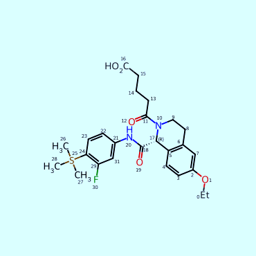 CCOc1ccc2c(c1)CCN(C(=O)CCCC(=O)O)[C@H]2C(=O)Nc1ccc(S(C)(C)C)c(F)c1